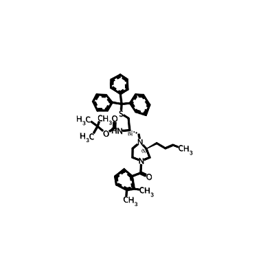 CCCC[C@H]1CN(C(=O)c2cccc(C)c2C)CCN1C[C@@H](CSC(c1ccccc1)(c1ccccc1)c1ccccc1)NC(=O)OC(C)(C)C